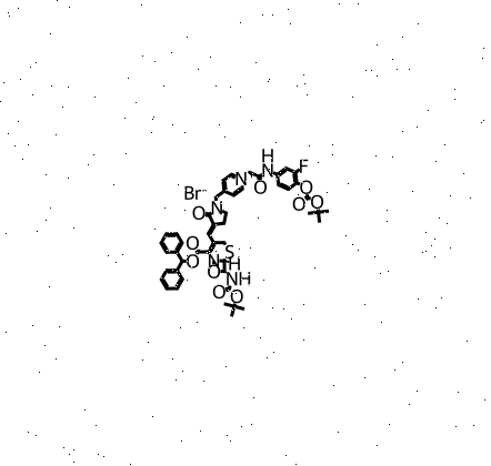 CC(C)(C)OC(=O)N[C@@H]1ON2C(C(=O)OC(c3ccccc3)c3ccccc3)=C(/C=C3\CCN(Cc4cc[n+](CC(=O)Nc5ccc(OC(=O)OC(C)(C)C)c(F)c5)cc4)C3=O)CS[C@H]12.[Br-]